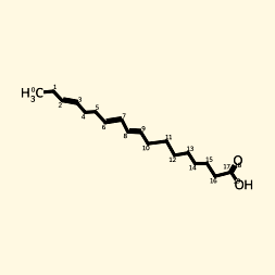 CCC=CCCC=CC=CCCCCCCCC(=O)O